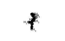 COc1cc(N2CCC(N3CC4(CN(C)C4)C3)CC2)c(-c2cnn(C)c2)cc1Nc1ncc(Br)c(Nc2ccc3nccnc3c2P(C)C)n1